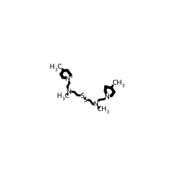 Cc1cc[n+](CCN(C)CCSSCCN(C)CC[n+]2ccc(C)cc2)cc1